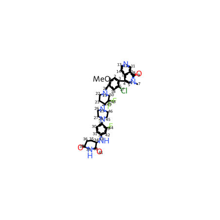 COc1cc(-c2cn(C)c(=O)c3cnccc23)c(Cl)cc1CN1CCC(N2CCN(c3ccc(NC4CCC(=O)NC4=O)cc3F)CC2)C(F)(F)C1